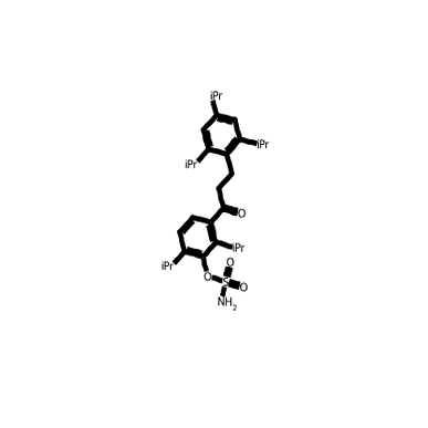 CC(C)c1cc(C(C)C)c(CCC(=O)c2ccc(C(C)C)c(OS(N)(=O)=O)c2C(C)C)c(C(C)C)c1